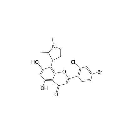 CC1C(c2c(O)cc(O)c3c(=O)cc(-c4ccc(Br)cc4Cl)oc23)CCN1C